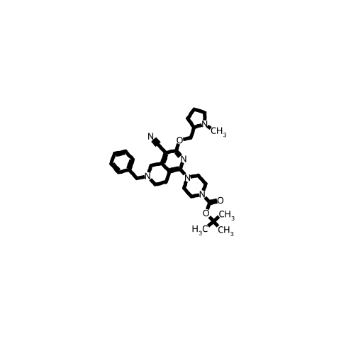 CN1CCCC1COc1nc(N2CCN(C(=O)OC(C)(C)C)CC2)c2c(c1C#N)CN(Cc1ccccc1)CC2